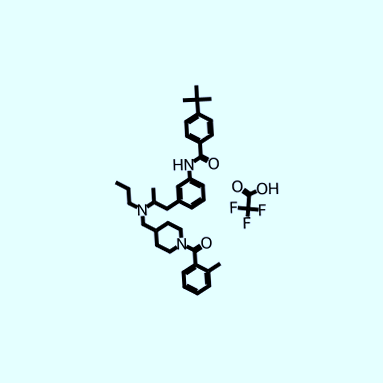 CCCN(CC1CCN(C(=O)c2ccccc2C)CC1)C(C)Cc1cccc(NC(=O)c2ccc(C(C)(C)C)cc2)c1.O=C(O)C(F)(F)F